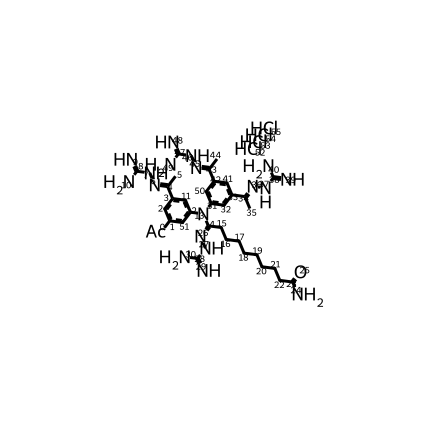 CC(=O)c1cc(C(C)=NNC(=N)N)cc(N(C(CCCCCCCCC(N)=O)=NNC(=N)N)c2cc(C(C)=NNC(=N)N)cc(C(C)=NNC(=N)N)c2)c1.Cl.Cl.Cl.Cl